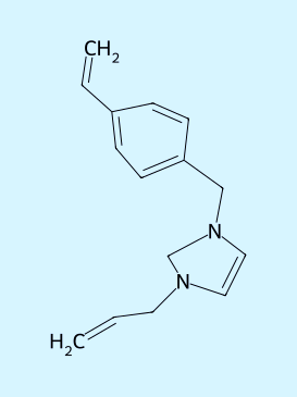 C=CCN1C=CN(Cc2ccc(C=C)cc2)C1